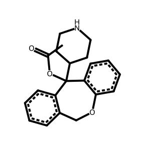 CC(=O)OC1(C2CCNCC2)c2ccccc2COc2ccccc21